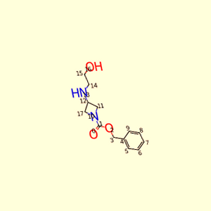 O=C(OCc1ccccc1)N1CC(NCCO)C1